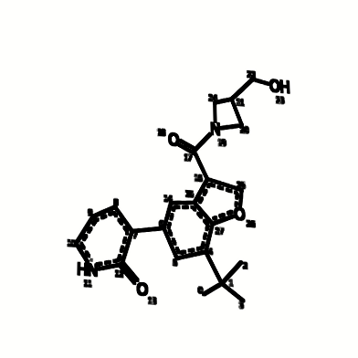 CC(C)(C)c1cc(-c2ccc[nH]c2=O)cc2c(C(=O)N3CC(CO)C3)coc12